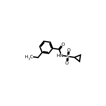 CCc1cccc(C(=O)NS(=O)(=O)C2CC2)c1